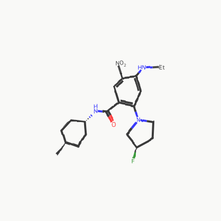 CCNc1cc(N2CC[C@@H](F)C2)c(C(=O)N[C@H]2CC[C@H](C)CC2)cc1[N+](=O)[O-]